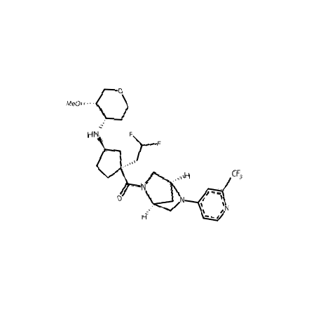 CO[C@@H]1COCC[C@@H]1N[C@@H]1CC[C@](CC(F)F)(C(=O)N2C[C@@H]3C[C@H]2CN3c2ccnc(C(F)(F)F)c2)C1